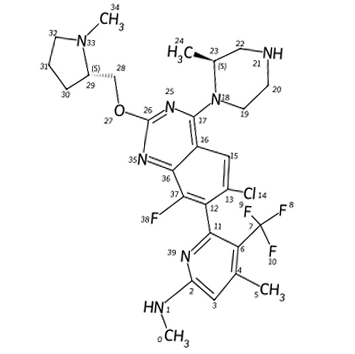 CNc1cc(C)c(C(F)(F)F)c(-c2c(Cl)cc3c(N4CCNC[C@@H]4C)nc(OC[C@@H]4CCCN4C)nc3c2F)n1